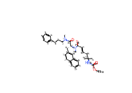 CN(CCCc1ccccc1)C(=O)[C@@H](Cc1ccc2ccccc2c1)N(C)C(=O)/C=C/CC(C)(C)NC(=O)OC(C)(C)C